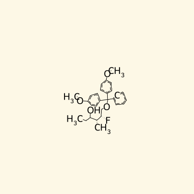 CCC(O)[C@@H](C)[C@@H](F)COC(c1ccccc1)(c1ccc(OC)cc1)c1ccc(OC)cc1